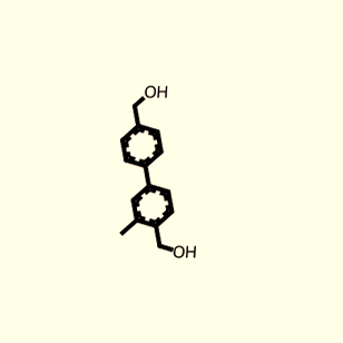 Cc1cc(-c2ccc(CO)cc2)ccc1CO